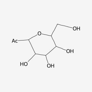 CC(=O)C1OC(CO)C(O)C(O)C1O